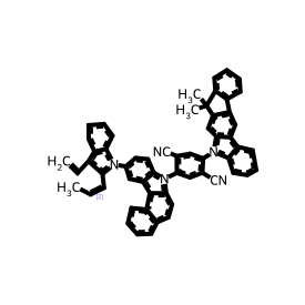 C=Cc1c(/C=C\C)n(-c2ccc3c(c2)c2c4ccccc4ccc2n3-c2cc(C#N)c(-n3c4ccccc4c4cc5c(cc43)C(C)(C)c3ccccc3-5)cc2C#N)c2ccccc12